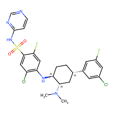 CN(C)[C@H]1C[C@@H](c2cc(F)cc(Cl)c2)CC[C@@H]1Nc1cc(F)c(S(=O)(=O)Nc2ccncn2)cc1Cl